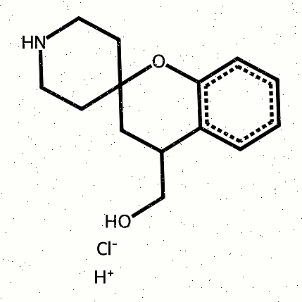 OCC1CC2(CCNCC2)Oc2ccccc21.[Cl-].[H+]